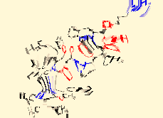 CC[C@H](C)[C@@H]([C@@H](CC(=O)N1CCC[C@H]1[C@H](OC)[C@@H](C)C(=O)N[C@@H](Cc1ccccc1)C(O)OCCCN)OC)N(C)C(=O)[C@@H](NC(=O)[C@H](C(C)C)N(C)C)C(C)C